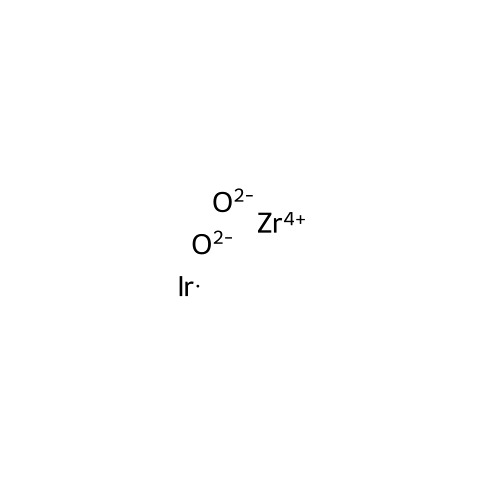 [Ir].[O-2].[O-2].[Zr+4]